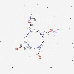 CN(C)OCCN1CCCN(CC=O)CCN(CC=O)CCCN(CCON(C)C)CC1